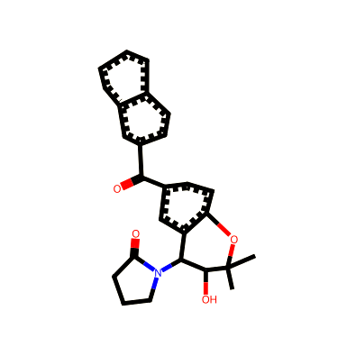 CC1(C)Oc2ccc(C(=O)c3ccc4ccccc4c3)cc2C(N2CCCC2=O)C1O